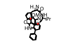 COC(=O)c1nc2oc1[C@]13c4cc(ccc4OC1Nc1c(-c4ccccc4)cccc13)C[C@H](N)C(=O)N[C@H]2C(C)C